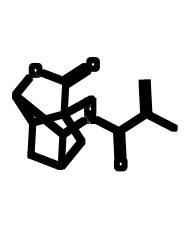 C=C(C)C(=O)NC1C2CC3C1OC(=O)C3(C)C2